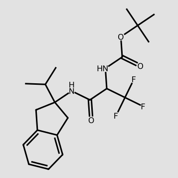 CC(C)C1(NC(=O)C(NC(=O)OC(C)(C)C)C(F)(F)F)Cc2ccccc2C1